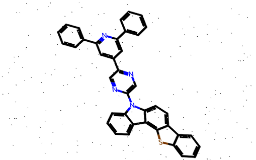 c1ccc(-c2cc(-c3cnc(-n4c5ccccc5c5c6sc7ccccc7c6ccc54)cn3)cc(-c3ccccc3)n2)cc1